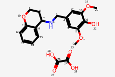 COc1cc(CNC2CCOc3ccccc32)cc(OC)c1O.O=C(O)C(=O)O